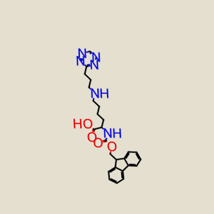 O=C(NC(CCCCNCCCc1nncnn1)C(=O)O)OCC1c2ccccc2-c2ccccc21